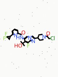 CC(C)(O)c1c(NC(=O)c2cccc(C3CC3(F)F)n2)cn2cc(C3CCN(C(=O)CCl)CC3)nc2c1F